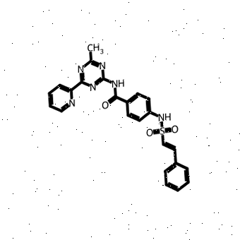 Cc1nc(NC(=O)c2ccc(NS(=O)(=O)/C=C/c3ccccc3)cc2)nc(-c2ccccn2)n1